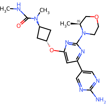 CNC(=O)N(C)[C@H]1C[C@H](Oc2cc(-c3cnc(N)nc3)nc(N3CCOC[C@@H]3C)n2)C1